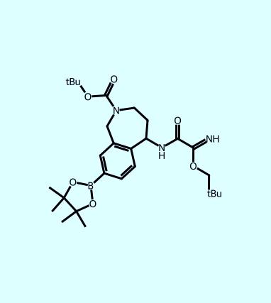 CC(C)(C)COC(=N)C(=O)NC1CCN(C(=O)OC(C)(C)C)Cc2cc(B3OC(C)(C)C(C)(C)O3)ccc21